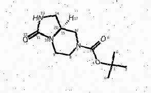 CC(C)(C)OC(=O)N1CCN2C(=O)NC[C@H]2C1